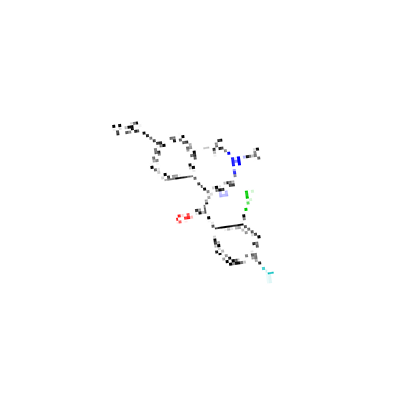 COc1ccc(/C(=C\N(C)C)C(=O)c2ccc(F)cc2Cl)cc1